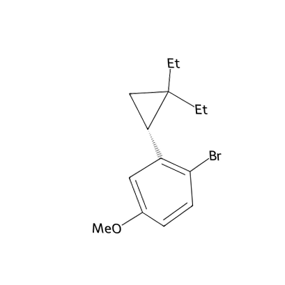 CCC1(CC)C[C@H]1c1cc(OC)ccc1Br